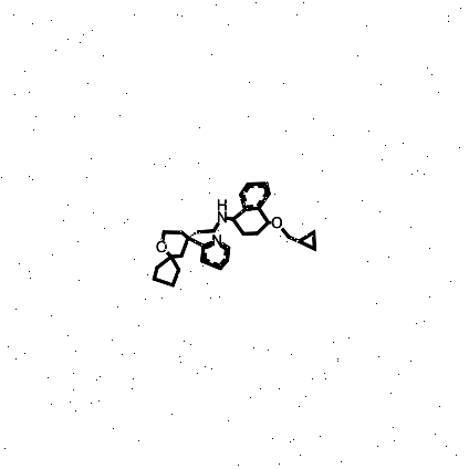 c1ccc([C@]2(CCNC3CC[C@H](OCC4CC4)c4ccccc43)CCOC3(CCCC3)C2)nc1